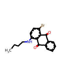 CCCCNc1ccc(Br)c2c1C(=O)c1ccccc1C2=O